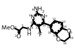 COC(=O)CNc1nc(N)nc(-c2ccc3c(c2)OCCO3)c1F